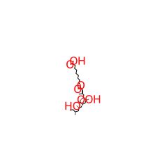 CC[C@H](C)C[C@@H](O)C[C@H]1CO[C@@H](C/C(C)=C/C(=O)OCCCCCCCCC(=O)O)C(O)C1